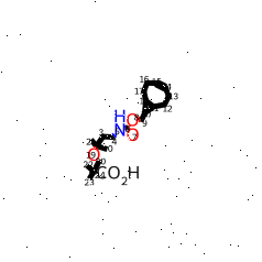 CC(C)(CCNC(=O)OCC1C2CCC#CCCC21)OCC(C)(C)C(=O)O